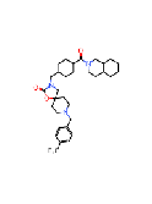 O=C1OC2(CCN(Cc3ccc(C(F)(F)F)cc3)CC2)CN1CC1CCC(C(=O)N2CCC3CCCCC3C2)CC1